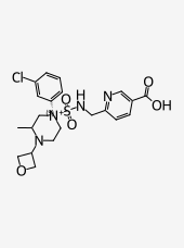 CC1C[N@@+](c2cccc(Cl)c2)(S(=O)(=O)NCc2ccc(C(=O)O)cn2)CCN1C1COC1